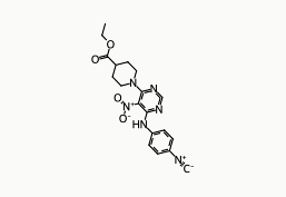 [C-]#[N+]c1ccc(Nc2ncnc(N3CCC(C(=O)OCC)CC3)c2[N+](=O)[O-])cc1